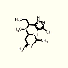 C=CCC(NC(C)C)N(C)C(CC)c1cc(C)n[nH]1